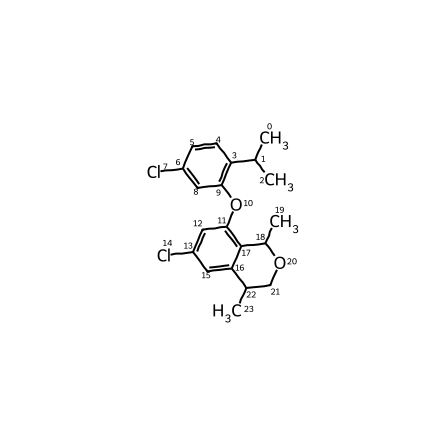 CC(C)c1ccc(Cl)cc1Oc1cc(Cl)cc2c1C(C)OCC2C